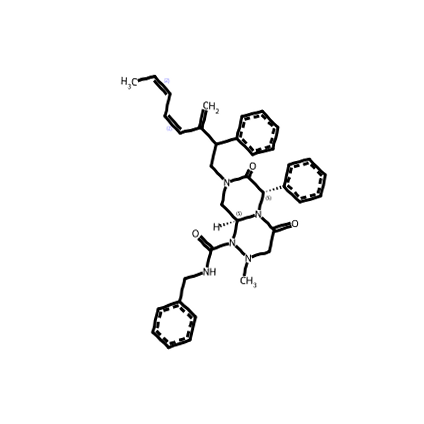 C=C(/C=C\C=C/C)C(CN1C[C@H]2N(C(=O)CN(C)N2C(=O)NCc2ccccc2)[C@@H](c2ccccc2)C1=O)c1ccccc1